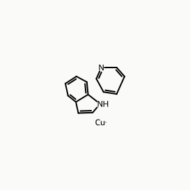 [Cu].c1ccc2[nH]ccc2c1.c1ccncc1